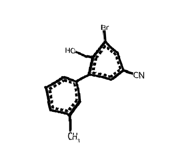 Cc1cccc(-c2cc(C#N)cc(Br)c2O)c1